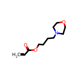 C=CC(=O)OCCCCN1CCOCC1